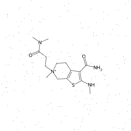 CNc1sc2c(c1C(N)=O)CC[N+](C)(CCC(=O)N(C)C)C2